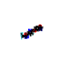 Fc1cc(-c2nnc(C(F)F)o2)cnc1COc1ccc2ocnc2c1